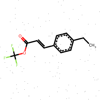 CCc1ccc(/C=C/C(=O)OC(F)(F)F)cc1